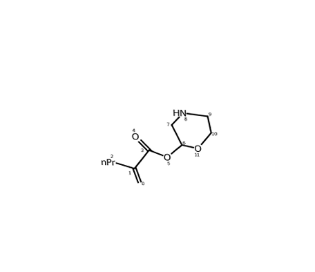 C=C(CCC)C(=O)OC1CNCCO1